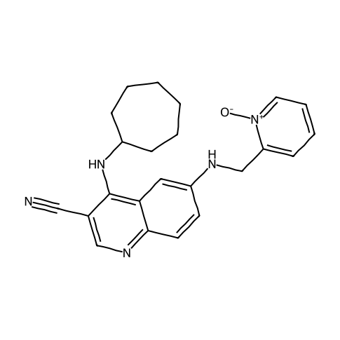 N#Cc1cnc2ccc(NCc3cccc[n+]3[O-])cc2c1NC1CCCCCC1